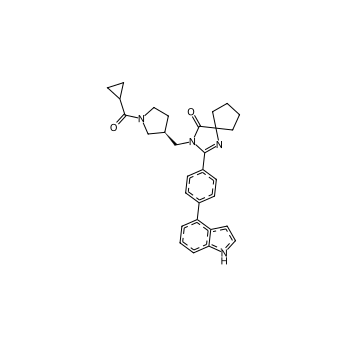 O=C(C1CC1)N1CC[C@@H](CN2C(=O)C3(CCCC3)N=C2c2ccc(-c3cccc4[nH]ccc34)cc2)C1